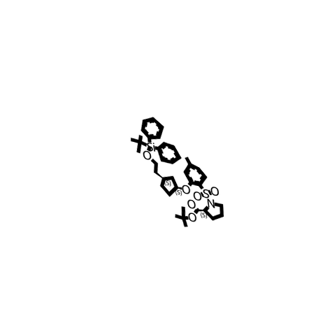 Cc1ccc(S(=O)(=O)N2CCC[C@H]2C(=O)OC(C)(C)C)c(O[C@H]2CC[C@@H](CCO[Si](c3ccccc3)(c3ccccc3)C(C)(C)C)C2)c1